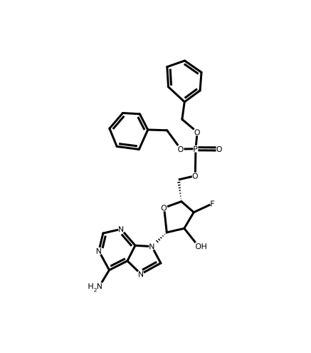 Nc1ncnc2c1ncn2[C@@H]1O[C@H](COP(=O)(OCc2ccccc2)OCc2ccccc2)C(F)C1O